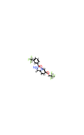 CC(NC(=O)c1cccc(C(F)(F)F)c1)c1ccc(OCC(F)(F)F)cn1